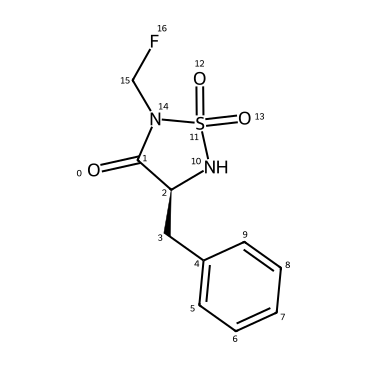 O=C1[C@H](Cc2ccccc2)NS(=O)(=O)N1CF